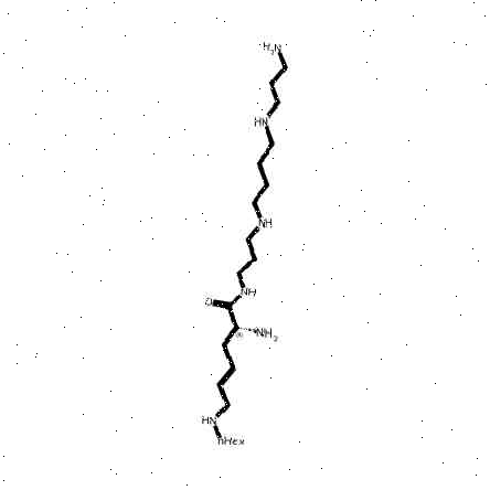 CCCCCCNCCCC[C@@H](N)C(=O)NCCCNCCCCNCCCN